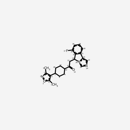 Cc1noc(C)c1C1CCC(C(=O)CC2c3c(F)cccc3-c3cncn32)CC1